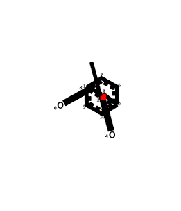 O=c1sc(=O)c2ccc1cc2